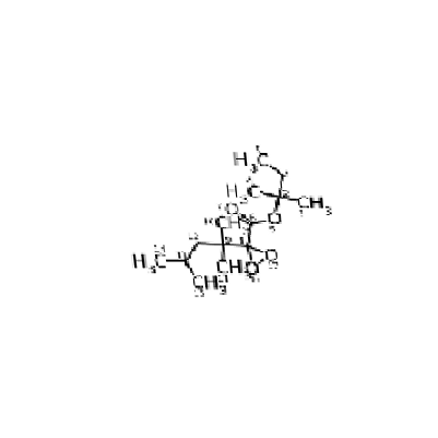 CCC(C)(C)OC(=O)C1(C(C)(C)CC(C)C)OO1